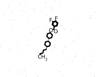 C=CCCC[C@H]1CC[C@H](C2CCC(OC(=O)c3ccc(F)c(F)c3)CC2)CC1